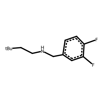 CC(C)(C)CCNCc1ccc(F)c(F)c1